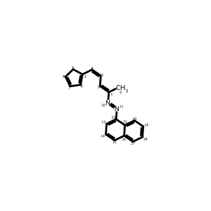 CC(=C\C=C/C1=CC=CC1)/N=N/c1cccc2ccccc12